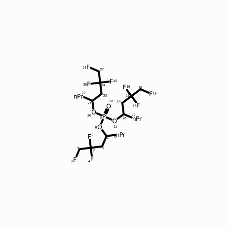 CCCC(CC(F)(F)CF)OP(=O)(OC(CCC)CC(F)(F)CF)OC(CCC)CC(F)(F)CF